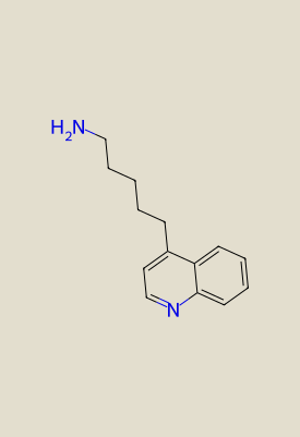 NCCCCCc1ccnc2ccccc12